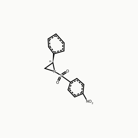 O=[N+]([O-])c1ccc(S(=O)(=O)N2C[C@H]2c2ccccc2)cc1